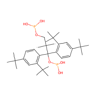 [CH2]C([CH2])(COP(O)O)C(OP(O)O)(c1ccc(C(C)(C)C)cc1C(C)(C)C)c1ccc(C(C)(C)C)cc1C(C)(C)C